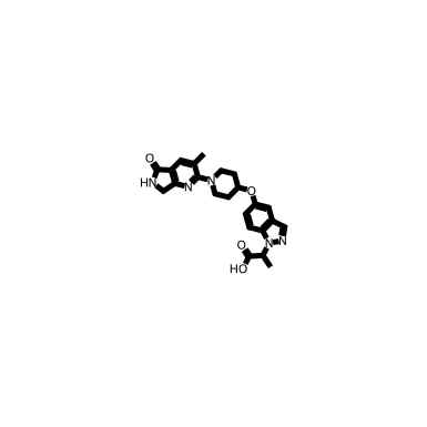 Cc1cc2c(nc1N1CCC(Oc3ccc4c(cnn4C(C)C(=O)O)c3)CC1)CNC2=O